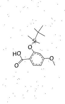 COc1ccc(C(=O)O)c(O[Si](C)(C)C(C)(C)C)c1